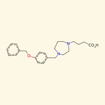 O=C(O)CCCN1CCCN(Cc2ccc(OCc3ccccc3)cc2)CC1